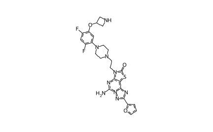 Nc1nc2c(sc(=O)n2CCN2CCN(c3cc(OC4CNC4)c(F)cc3F)CC2)c2nc(-c3ccco3)nn12